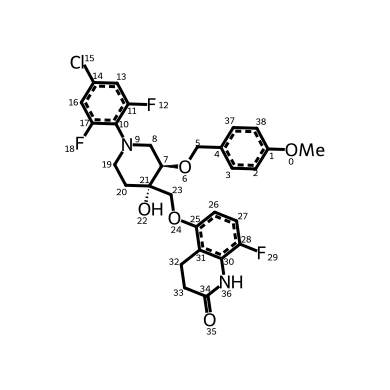 COc1ccc(CO[C@@H]2CN(c3c(F)cc(Cl)cc3F)CC[C@]2(O)COc2ccc(F)c3c2CCC(=O)N3)cc1